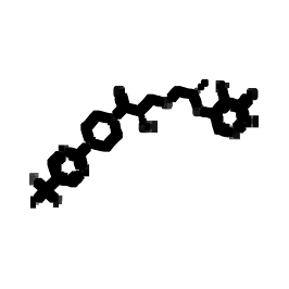 C[C@@H](COC[C@H](O)C(=O)N1CCN(c2ncc(C(F)(F)F)cn2)CC1)Oc1cn[nH]c(=O)c1Br